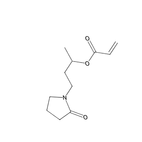 C=CC(=O)OC(C)CCN1CCCC1=O